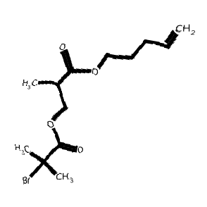 C=CCCCOC(=O)C(C)COC(=O)C(C)(C)Br